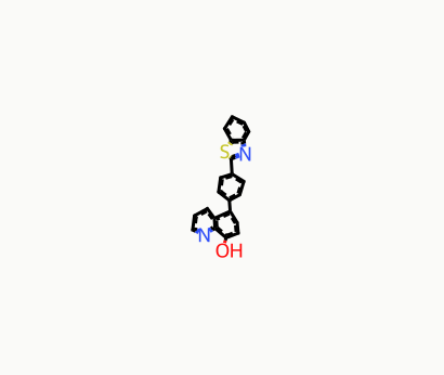 Oc1ccc(-c2ccc(-c3nc4ccccc4s3)cc2)c2cccnc12